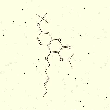 CCC=CCCOc1c(OC(C)C)c(=O)oc2cc(OC(C)(C)C)ccc12